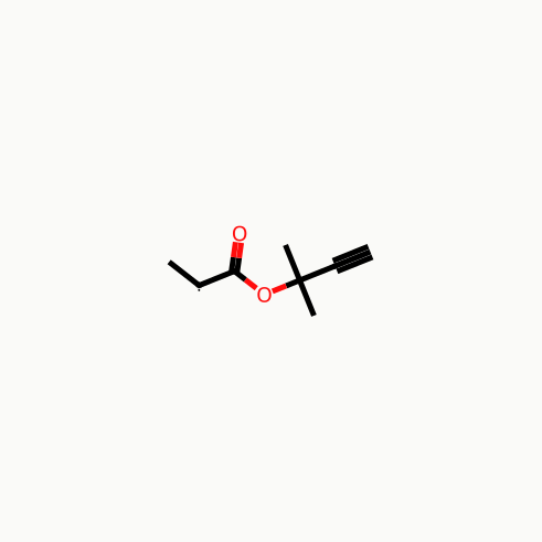 C#CC(C)(C)OC(=O)[CH]C